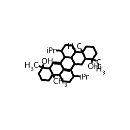 CC(C)C1CCC2C3=C1C1CC4C(C)(O)CCCC4(C)C4CCC(C(C)C)C(C3=CC3C(C)(O)CCCC23C)C14